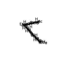 CCNC(=O)[C@H](CCCCNC(=O)CCCC(=O)NCCOCCOCC(=O)NCCOCCOCC(=O)NCCCC[C@H](NC)C(N)=O)NC(=O)COCCOCCNC(=O)COCCOCCNC(=O)CSC(C)=O